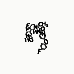 CC(C(=O)Nc1ccc(Oc2ccc(F)cc2)cn1)N1CCC(F)(F)C(c2ccnc(CO)c2)C1